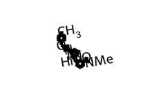 CNC(=O)c1cccc(Nc2nccc(N3CC(Oc4ccc(C)cc4)C3)n2)c1